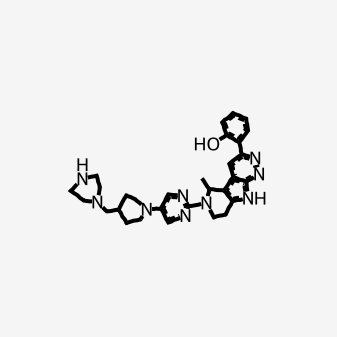 CC1c2c([nH]c3nnc(-c4ccccc4O)cc23)CCN1c1ncc(N2CCC(CN3CCNCC3)CC2)cn1